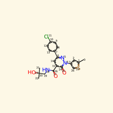 Cc1cc(-n2nc(-c3ccc(Cl)cc3)cc(C(=O)NCC(C)(C)O)c2=O)cs1